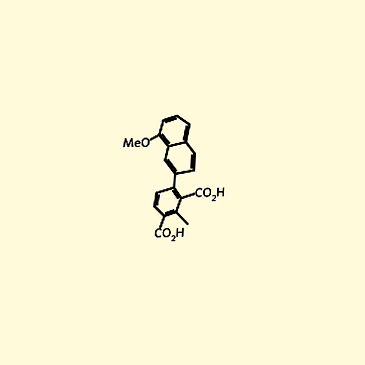 COc1cccc2ccc(-c3ccc(C(=O)O)c(C)c3C(=O)O)cc12